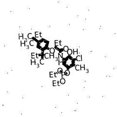 CCOP(OCC)Oc1cc(NC(=O)C(CC)Oc2ccc(C(C)(C)CC)cc2C(C)(C)CC)c(O)c(Cl)c1C